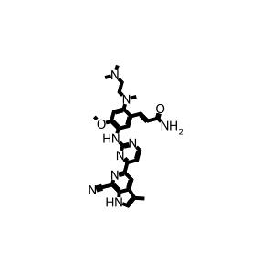 COc1cc(N(C)CCN(C)C)c(C=CC(N)=O)cc1Nc1nccc(-c2cc3c(C)c[nH]c3c(C#N)n2)n1